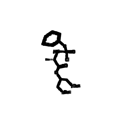 CCCCCCCCCCCC(CCCCCCCCCCC)OC(=O)[C@H](C)NP(=O)(Cl)Oc1ccccc1